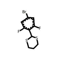 Fc1cc(Br)cc(F)c1C1SCCCS1